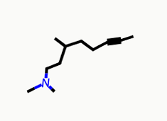 CC#CCCC(C)CCN(C)C